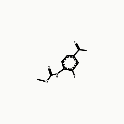 COC(=O)Nc1ccc(C(C)=O)cc1F